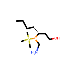 CCCC[C@H](CCO)P(CN)S(C)(C)C